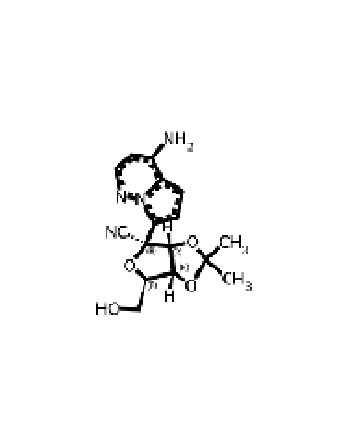 CC1(C)O[C@H]2[C@@H](O1)[C@](C#N)(c1ccc3c(N)ccnn13)O[C@@H]2CO